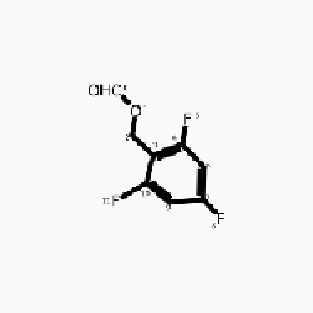 O=COCc1c(F)cc(F)cc1F